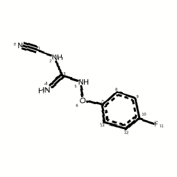 N#CNC(=N)NOc1ccc(F)cc1